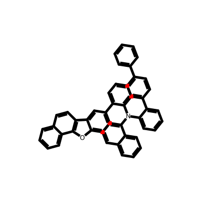 c1ccc(-c2ccc(-c3ccccc3N(c3ccccc3-c3ccc4oc5c6ccccc6ccc5c4c3)c3cccc4ccccc34)cc2)cc1